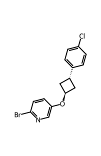 Clc1ccc([C@H]2C[C@H](Oc3ccc(Br)nc3)C2)cc1